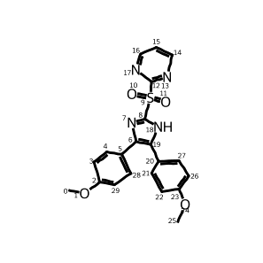 COc1ccc(-c2nc(S(=O)(=O)c3ncccn3)[nH]c2-c2ccc(OC)cc2)cc1